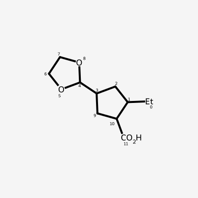 CCC1CC(C2OCCO2)CC1C(=O)O